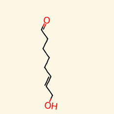 O=CCCCCC=CCO